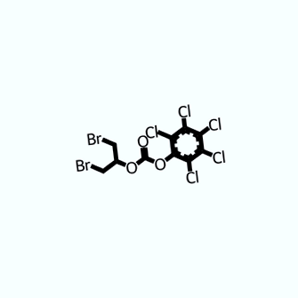 O=C(Oc1c(Cl)c(Cl)c(Cl)c(Cl)c1Cl)OC(CBr)CBr